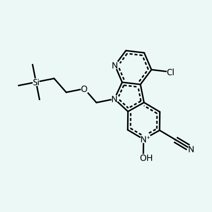 C[Si](C)(C)CCOCn1c2c[n+](O)c(C#N)cc2c2c(Cl)ccnc21